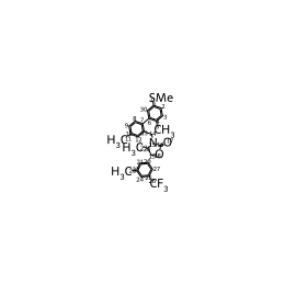 CSc1ccc(C)c(-c2ccc(C)cc2CN2C(=O)O[C@H](c3cc(C)cc(C(F)(F)F)c3)[C@@H]2C)c1